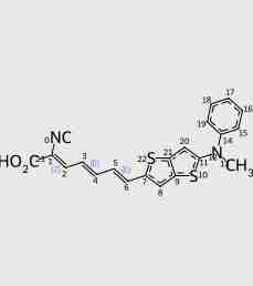 [C-]#[N+]\C(=C/C=C/C=C/c1cc2sc(N(C)c3ccccc3)cc2s1)C(=O)O